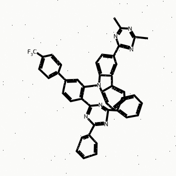 Cc1nc(C)nc(-c2ccc3c(c2)c2ccccc2n3-c2cc(-c3ccc(C(F)(F)F)cc3)ccc2-c2nc(-c3ccccc3)nc(-c3ccccc3)n2)n1